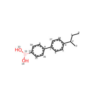 CCC(C)c1ccc(-c2ccc(B(O)O)cc2)cc1